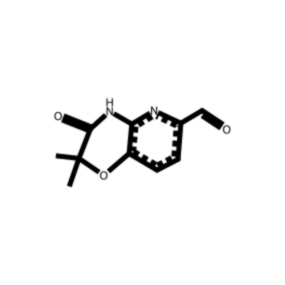 CC1(C)Oc2ccc(C=O)nc2NC1=O